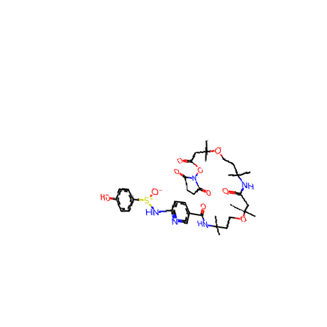 CC(C)(CCOC(C)(C)CC(=O)ON1C(=O)CCC1=O)NC(=O)CC(C)(C)OCCC(C)(C)NC(=O)c1ccc(N[S+]([O-])c2ccc(O)cc2)nc1